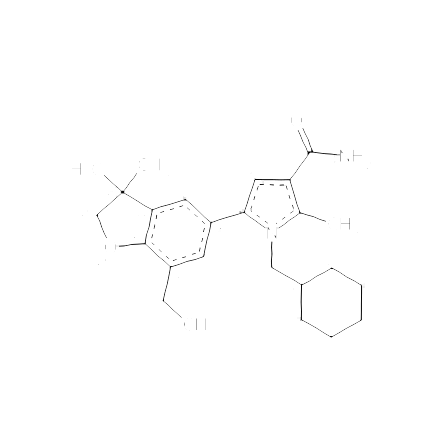 CCc1cc(-c2cc(C(N)=O)c(C)n2CC2CCCCC2)cc2c1OCC2(C)C